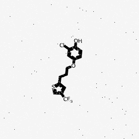 Oc1ccc(OCCCc2cc(C(F)(F)F)cs2)cc1Cl